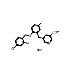 O=C([O-])c1cncc(Cc2cc(Cl)ccc2OCc2ccc(Cl)cc2F)c1.[Na+]